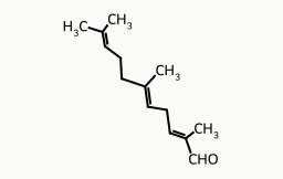 CC(C)=CCC/C(C)=C/CC=C(C)C=O